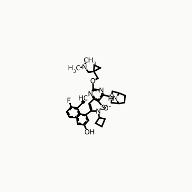 C#Cc1c(F)ccc2cc(O)cc(C3=Cc4nc(OCC5(CN(C)C)CC5)nc(N5CC6CCC(C5)N6)c4[S+]([O-])N3C3CCC3)c12